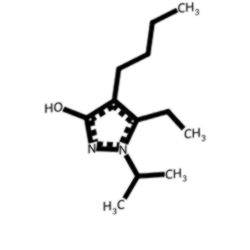 CCCCc1c(O)nn(C(C)C)c1CC